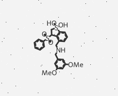 COc1cc(CNCc2cccc3c2C(S(=O)(=O)c2ccccc2)CS3(O)O)cc(OC)c1